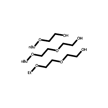 CCCCOCCO.CCCCOCCOCCO.CCOCCOCCO